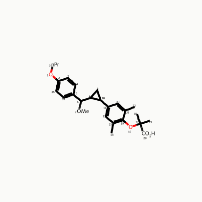 CCCOc1ccc(C(OC)C2CC2c2cc(C)c(OC(C)(C)C(=O)O)c(C)c2)cc1